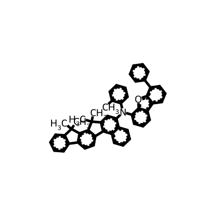 Cc1ccccc1N(c1cc2c(c3ccccc13)-c1ccc3c(c1C2(C)C)C(C)(C)c1ccccc1-3)c1cccc2c1oc1c(-c3ccccc3)cccc12